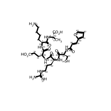 C[C@H](NC(=O)[C@H](CCCCN)NC(=O)[C@H](CCC(=O)O)NC(=O)[C@H](CCCNC(=N)N)NC(=O)[C@H](CS)NC(=O)C=Cc1ccco1)C(=O)O